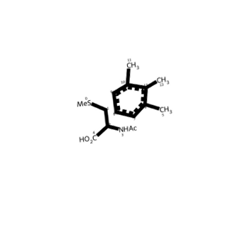 CSCC(NC(C)=O)C(=O)O.Cc1cccc(C)c1C